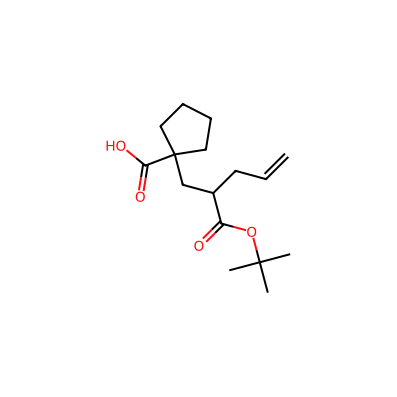 C=CCC(CC1(C(=O)O)CCCC1)C(=O)OC(C)(C)C